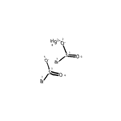 O=S([O-])Br.O=S([O-])Br.[Hg+2]